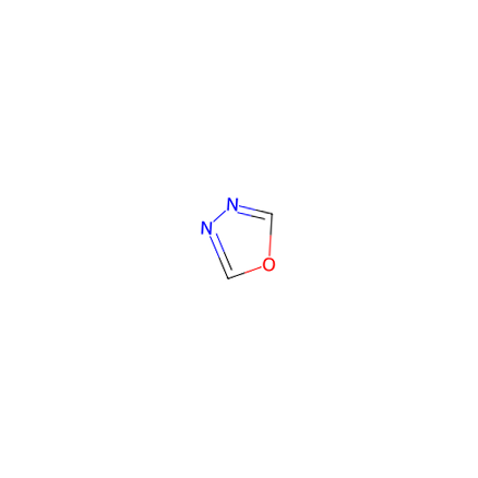 c1nnco1